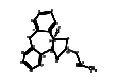 CNC[C@H]1C[C@@H]2c3ccccc3Cc3ccccc3N2O1